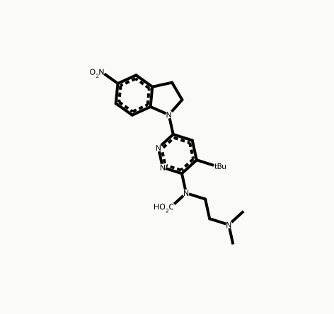 CN(C)CCN(C(=O)O)c1nnc(N2CCc3cc([N+](=O)[O-])ccc32)cc1C(C)(C)C